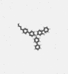 CCCCc1ccc(-c2ccc(N(c3ccc(-c4ccccc4)cc3)c3ccc4c(c3)sc3ccccc34)cc2)cc1